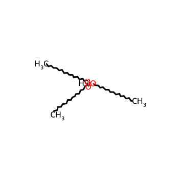 CCCCCCCCCCCCCCCCO[SiH](OCCCCCCCCCCCCCCCC)OCCCCCCCCCCCCCCCC